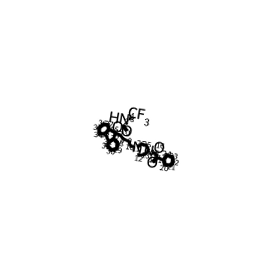 O=C(NCC(F)(F)F)OC1(CCCCN2CCN(C(=O)C(=O)c3ccccc3)CC2)c2ccccc2-c2ccccc21